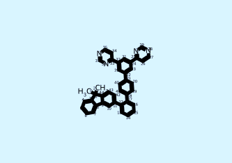 CC1(C)c2ccccc2-c2cc(-c3ccccc3-c3ccc(-c4cc(-c5ccncn5)cc(-c5ccncn5)c4)cc3)ccc21